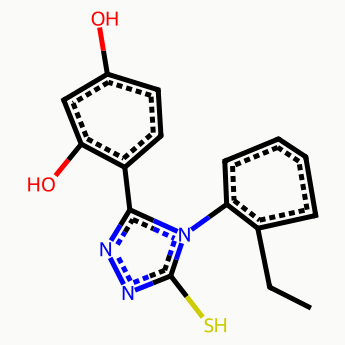 CCc1ccccc1-n1c(S)nnc1-c1ccc(O)cc1O